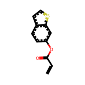 C=CC(=O)Oc1ccc2ccsc2c1